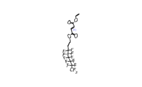 C=COC(=O)/C=C/C(=O)OCCC(F)(F)C(F)(F)C(F)(F)C(F)(F)C(F)(F)C(F)(F)F